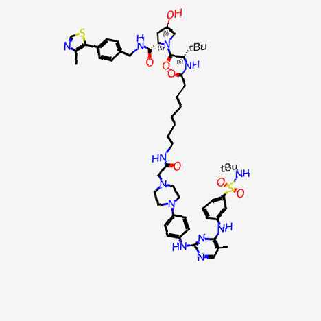 Cc1cnc(Nc2ccc(N3CCN(CC(=O)NCCCCCCCC(=O)N[C@H](C(=O)N4C[C@H](O)C[C@H]4C(=O)NCc4ccc(-c5scnc5C)cc4)C(C)(C)C)CC3)cc2)nc1Nc1cccc(S(=O)(=O)NC(C)(C)C)c1